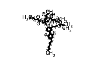 C=C(C)C(=O)OCCCc1cc(-c2c(F)cc(CCCCCCC)cc2F)ccc1OCC(COC(=O)C(=C)C)(COC(=O)C(=O)CCOC)COC(=O)C(=O)CCOC